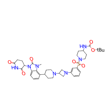 Cn1c(=O)n(C2CCC(=O)NC2=O)c2cccc(C3CCN(C4CN(c5cccc(S(=O)(=O)N6CCC(NC(=O)OC(C)(C)C)CC6)c5)C4)CC3)c21